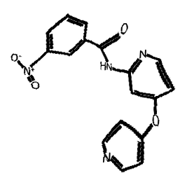 O=C(Nc1cc(Oc2ccncc2)ccn1)c1cccc([N+](=O)[O-])c1